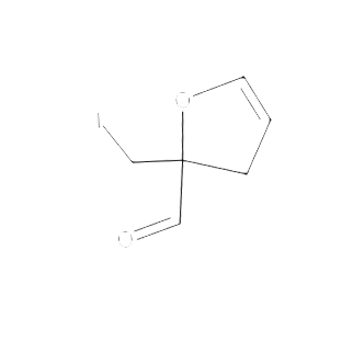 O=CC1(CI)CC=CO1